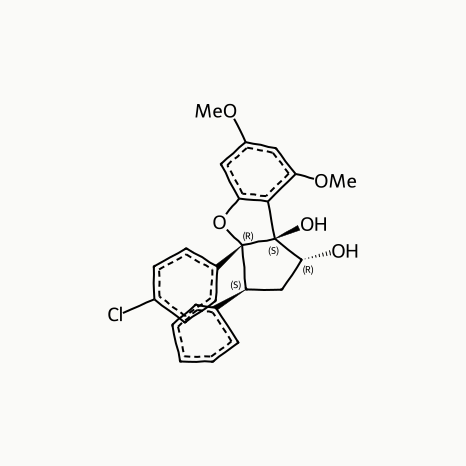 COc1cc(OC)c2c(c1)O[C@@]1(c3ccc(Cl)cc3)[C@H](c3ccccc3)C[C@@H](O)[C@@]21O